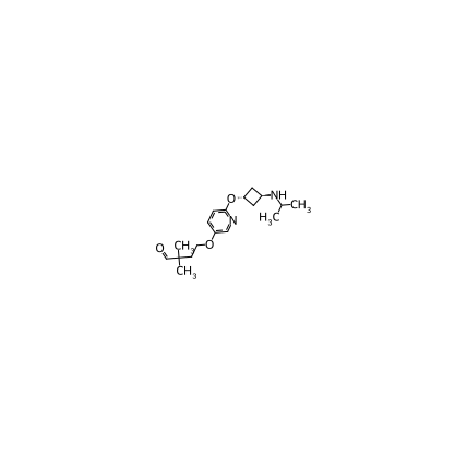 CC(C)N[C@H]1C[C@H](Oc2ccc(OCCC(C)(C)C=O)cn2)C1